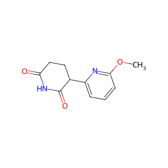 COc1cccc(C2CCC(=O)NC2=O)n1